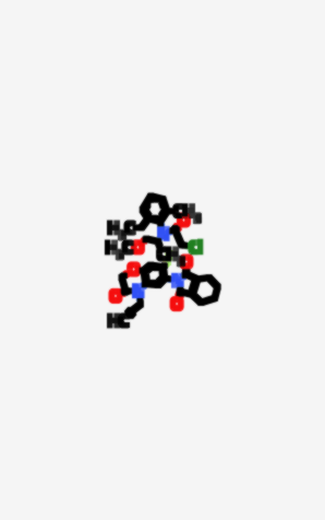 C#CCN1C(=O)COc2cc(F)c(N3C(=O)C4=C(CCCC4)C3=O)cc21.CCc1cccc(C)c1N(C(=O)CCl)C(C)COC